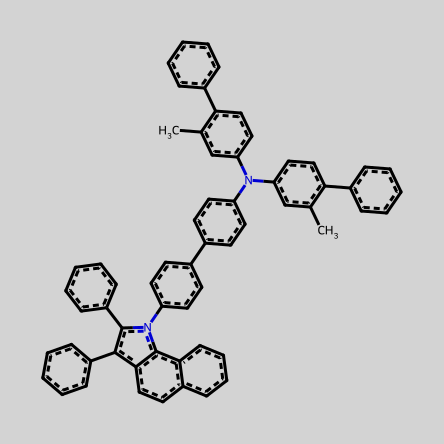 Cc1cc(N(c2ccc(-c3ccc(-n4c(-c5ccccc5)c(-c5ccccc5)c5ccc6ccccc6c54)cc3)cc2)c2ccc(-c3ccccc3)c(C)c2)ccc1-c1ccccc1